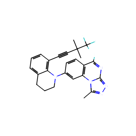 Cc1nnc2nc(F)c3ccc(N4CCCc5cccc(C#CC(C)(C)C(F)(F)F)c54)cc3n12